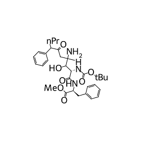 CCCC(C(=O)CC(C)(N)C(O)[C@H](NC(=O)OC(C)(C)C)C(=O)N[C@@H](Cc1ccccc1)C(=O)OC)c1ccccc1